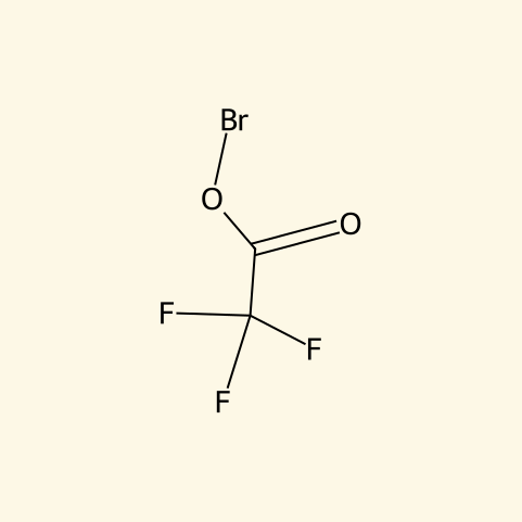 O=C(OBr)C(F)(F)F